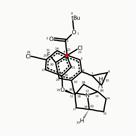 CC(C)(C)OC(=O)c1cc(C2CC2)c(CN2[C@@H]3CC[C@H]2C[C@@H](Oc2cc(Cl)cc(Cl)c2)C3)cc1F